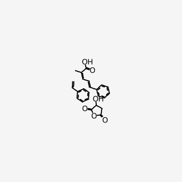 C=Cc1ccccc1.CC(=CC=Cc1ccccc1)C(=O)O.O=C1CC(O)C(=O)O1